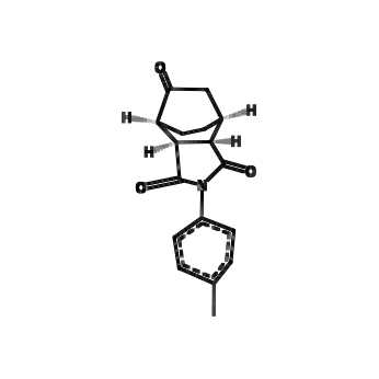 O=C1C[C@@H]2CC[C@H]1[C@@H]1C(=O)N(c3ccc(I)cc3)C(=O)[C@H]21